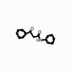 O=C(CC(=O)c1[c]cccc1)Nc1ccccc1